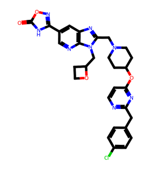 O=c1[nH]c(-c2cnc3c(c2)nc(CN2CCC(Oc4ccnc(Cc5ccc(Cl)cc5)n4)CC2)n3CC2CCO2)no1